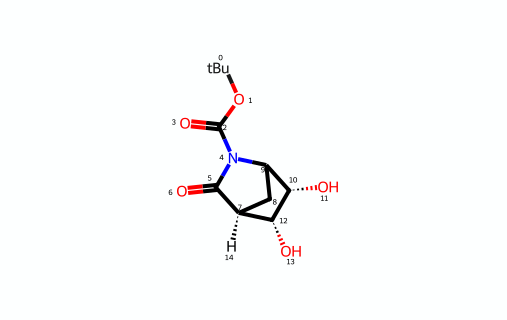 CC(C)(C)OC(=O)N1C(=O)[C@H]2CC1[C@H](O)[C@@H]2O